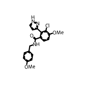 COc1ccc(CNC(=O)c2ccc(OC)c(Cl)c2-c2cc[nH]n2)cc1